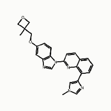 Cn1cnc(-c2cccc3ccc(-n4cnc5cc(OCC6(C)COC6)ccc54)nc23)c1